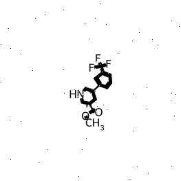 COC(=O)[C@H]1CNC[C@@H](c2cccc(C(F)(F)F)c2)C1